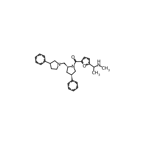 CNC(C)c1ccc(C(=O)N2C[C@@H](c3ccccc3)C[C@H]2CN2CCC(c3ccccc3)C2)o1